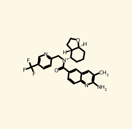 Cc1cc2cc(C(=O)N(Cc3ccc(C(F)(F)F)cn3)[C@H]3CCC[C@@H]4OCC[C@H]43)ccc2nc1N